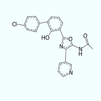 CC(=O)Nc1oc(-c2cccc(-c3ccc(Cl)cc3)c2O)nc1-c1cccnc1